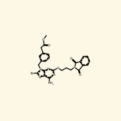 COC(=O)Cc1cccc(Cn2c(Br)nc3c(N)nc(OCCCN4C(=O)c5ccccc5C4=O)nc32)c1